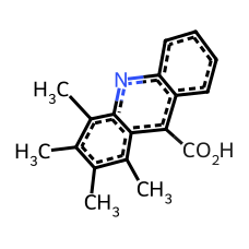 Cc1c(C)c(C)c2c(C(=O)O)c3ccccc3nc2c1C